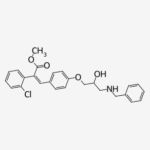 COC(=O)C(=Cc1ccc(OCC(O)CNCc2ccccc2)cc1)c1ccccc1Cl